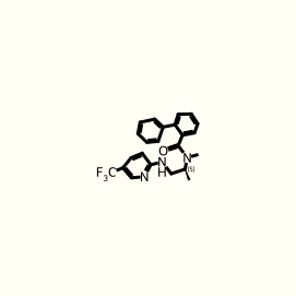 C[C@@H](CNc1ccc(C(F)(F)F)cn1)N(C)C(=O)c1ccccc1-c1ccccc1